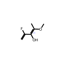 C=C(F)/C(O)=C(\C)OC